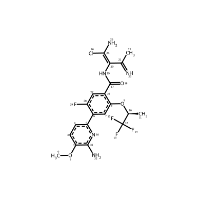 COc1ccc(-c2cc(O[C@@H](C)C(F)(F)F)c(C(=O)N/C(C(C)=N)=C(/N)Cl)cc2F)nc1N